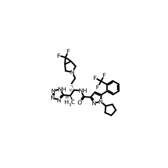 C[C@@H](c1nnn[nH]1)[C@H](CCN1CC2C(C1)C2(F)F)NC(=O)c1cc(-c2ccccc2C(F)(F)F)n(C2CCCC2)n1